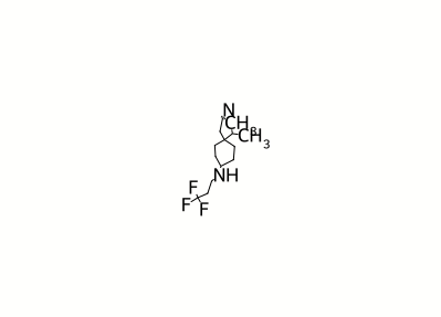 CC(C)C1(CC#N)CCC(NCCC(F)(F)F)CC1